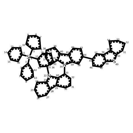 c1ccc([Si](c2ccccc2)(c2ccccc2)c2cccc(-n3c4ccccc4c4cccc(-n5c6ccccc6c6ccc(-c7ccc8sc9ccccc9c8c7)cc65)c43)c2)cc1